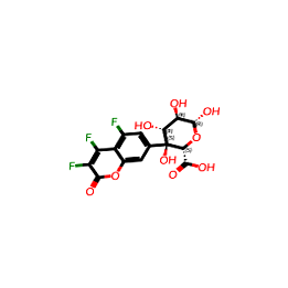 O=C(O)[C@H]1O[C@@H](O)[C@H](O)[C@@H](O)[C@@]1(O)c1cc(F)c2c(F)c(F)c(=O)oc2c1